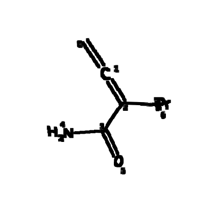 C=C=C(C(N)=O)C(C)C